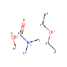 CCOCC.CN(C)C=O.CO